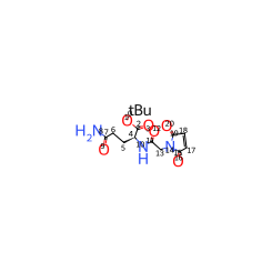 CC(C)(C)OC(=O)[C@H](CCC(N)=O)NC(=O)CN1C(=O)C=CC1=O